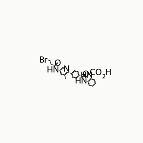 Cc1cc(NC(=O)CCBr)cnc1-c1ccc(C(=O)Nc2ccccc2NC(=O)O)cc1